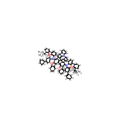 CC(C)(C)c1cccc2c1oc1c(N(c3ccc(-c4ccccc4)cc3)c3cc4c(c5c3oc3ccccc35)-c3c(cc(N(c5ccc(-c6ccccc6)cc5)c5cccc6c5oc5c(C(C)(C)C)cccc56)c5c3oc3ccccc35)C43c4ccccc4-n4c5ccccc5c5cccc3c54)cccc12